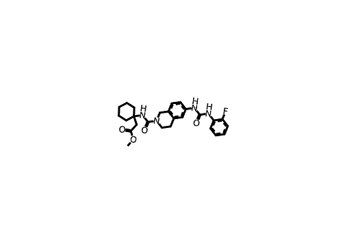 COC(=O)CC1(NC(=O)N2CCc3cc(NC(=O)Nc4ccccc4F)ccc3C2)CCCCC1